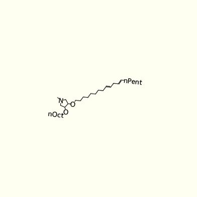 CCCCCC=CCC=CCCCCCCCCO[C@@H]1CN(C)C[C@@H]1OCCCCCCCC